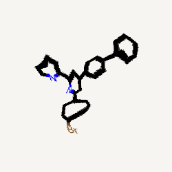 Brc1ccc(-c2cc(-c3ccc(-c4ccccc4)cc3)cc(-c3ccccn3)n2)cc1